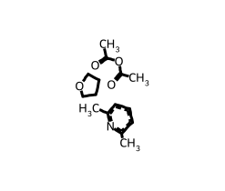 C1CCOC1.CC(=O)OC(C)=O.Cc1cccc(C)n1